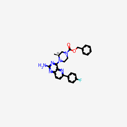 C[C@H]1CN(C(=O)OCc2ccccc2)CCN1c1nc(N)nc2ccc(-c3ccc(F)cc3)nc12